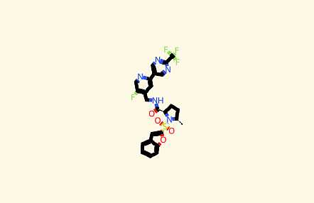 C[C@H]1CC[C@@H](C(=O)NCc2cc(-c3cnc(C(F)(F)F)nc3)ncc2F)N1S(=O)(=O)c1cc2ccccc2o1